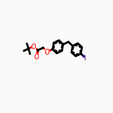 CC(C)(C)OC(=O)COc1ccc(Cc2ccc(I)cc2)cc1